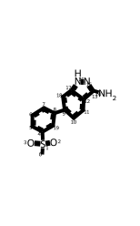 CS(=O)(=O)c1cccc(-c2ccc3c(N)n[nH]c3c2)c1